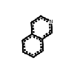 [c]1ccc2ccncc2c1